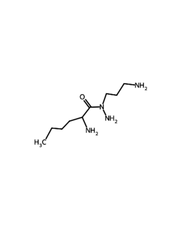 CCCCC(N)C(=O)N(N)CCCN